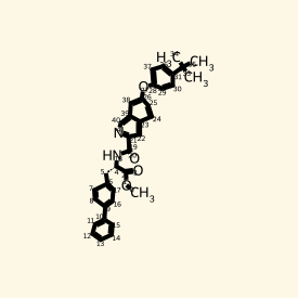 COC(=O)[C@H](Cc1ccc(-c2ccccc2)cc1)NC(=O)c1cc2ccc(Oc3ccc(C(C)(C)C)cc3)cc2cn1